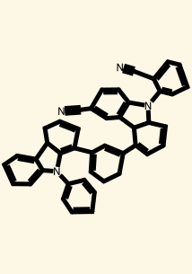 N#Cc1ccc2c(c1)C1C(C3=CC(C4=C5C(CC=C4)c4ccccc4N5c4ccccc4)=CCC3)=CC=CC1N2c1ccccc1C#N